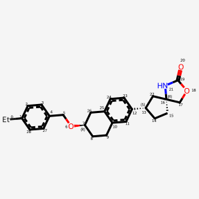 CCc1ccc(CO[C@@H]2CCc3cc([C@H]4CC[C@]5(COC(=O)N5)C4)ccc3C2)cc1